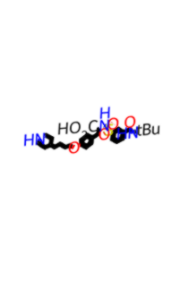 CC(C)(C)NC(=O)c1cccc(S(=O)(=O)N[C@@H](Cc2ccc(OCCCCC3CCNCC3)cc2)C(=O)O)c1